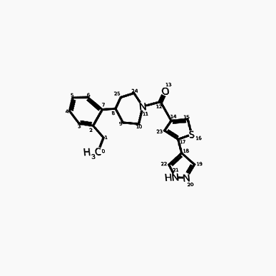 CCc1ccccc1C1CCN(C(=O)c2csc(-c3cn[nH]c3)c2)CC1